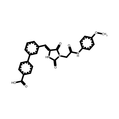 COc1ccc(NC(=O)CN2C(=O)N/C(=C\c3cccc(-c4ccc(C(=O)O)cc4)c3)C2=O)cc1